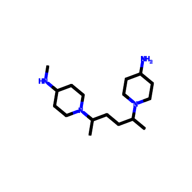 CNC1CCN(C(C)CCC(C)N2CCC(N)CC2)CC1